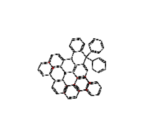 c1ccc(-c2ccccc2-c2cc3c4c(c2)C(c2ccccc2)(c2ccccc2)c2ccccc2B4c2ccccc2N3c2c(-c3ccccc3)cccc2-c2ccccc2)cc1